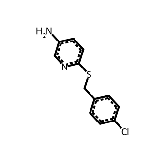 Nc1ccc(SCc2ccc(Cl)cc2)nc1